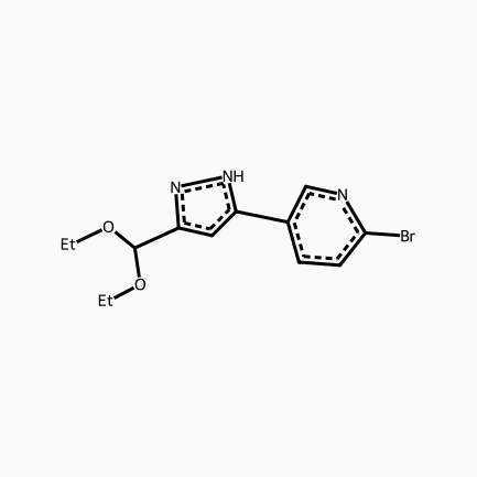 CCOC(OCC)c1cc(-c2ccc(Br)nc2)[nH]n1